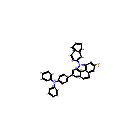 Brc1cc2ccc3cc(-c4ccc(N(c5ccccc5)c5ccccc5)cc4)cc4c3c2c(c1)n4-c1ccc2ccccc2c1